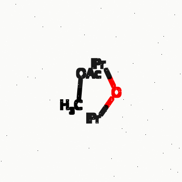 CC(C)OC(C)C.COC(C)=O